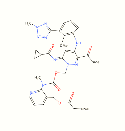 CNCC(=O)OCc1cccnc1N(C)C(=O)OCn1nc(C(=O)NC)c(Nc2cccc(-c3nnn(C)n3)c2OC)c/c1=N\C(=O)C1CC1